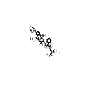 COc1cc(N2CCOCC2)ccc1Nc1ncc(Cl)c(Nc2ccccc2S(=O)(=O)NCCN(C)C)n1